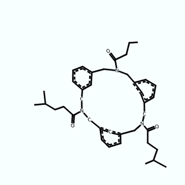 CCCC(=O)N1Cc2cccc(c2)CN(C(=O)CCC(C)C)Cc2cccc(c2)CN(C(=O)CCC(C)C)Cc2cccc(c2)C1